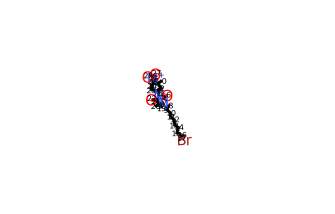 Cc1cc(N2C(=O)N(CCCCCCCCCBr)C(C)(C)C2=O)ccc1[N+](=O)[O-]